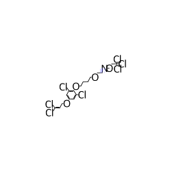 ClC(Cl)=CCOc1cc(Cl)c(OCCCCOC/C=N/OCC(Cl)(Cl)Cl)c(Cl)c1